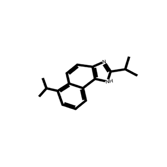 CC(C)c1nc2ccc3c(C(C)C)cccc3c2[nH]1